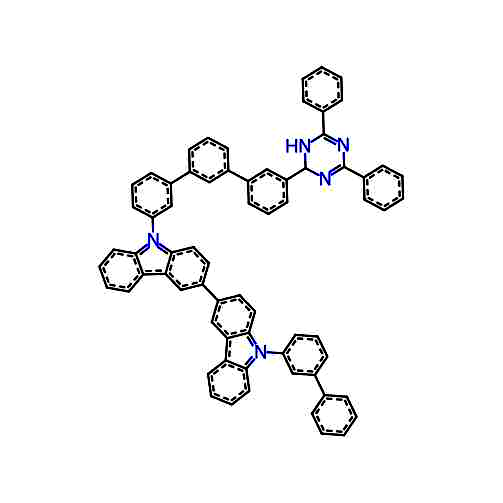 c1ccc(C2=NC(c3cccc(-c4cccc(-c5cccc(-n6c7ccccc7c7cc(-c8ccc9c(c8)c8ccccc8n9-c8cccc(-c9ccccc9)c8)ccc76)c5)c4)c3)NC(c3ccccc3)=N2)cc1